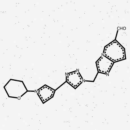 O=Cc1ccc2nc(Cn3cc(-c4ccn(C5CCCCO5)c4)nn3)cn2c1